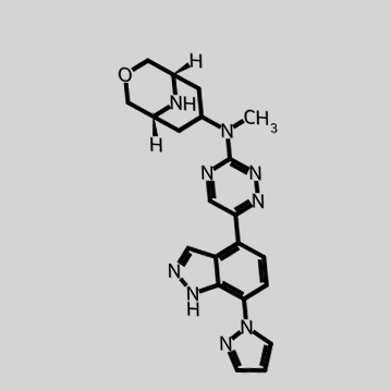 CN(c1ncc(-c2ccc(-n3cccn3)c3[nH]ncc23)nn1)C1C[C@H]2COC[C@@H](C1)N2